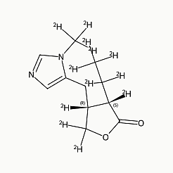 [2H]C([2H])([2H])n1cncc1C[C@@]1([2H])C([2H])([2H])OC(=O)[C@@]1([2H])C([2H])([2H])C([2H])([2H])[2H]